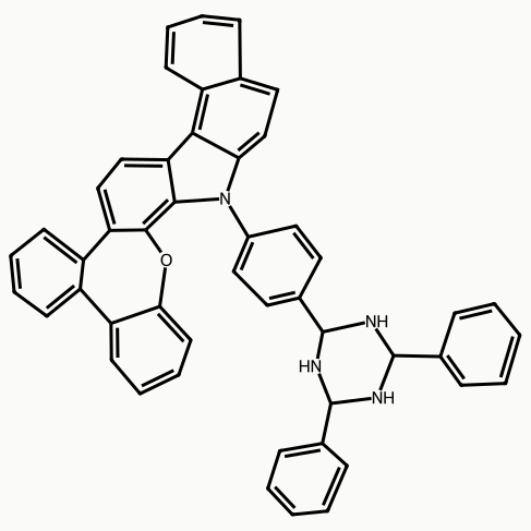 c1ccc(C2NC(c3ccccc3)NC(c3ccc(-n4c5ccc6ccccc6c5c5ccc6c(c54)Oc4ccccc4-c4ccccc4-6)cc3)N2)cc1